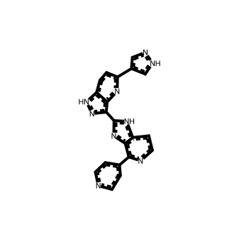 c1cc(-c2nccc3[nH]c(-c4n[nH]c5ccc(-c6cn[nH]c6)nc45)nc23)ccn1